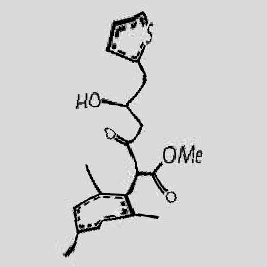 COC(=O)C(C(=O)CC(O)Cc1cccs1)c1c(C)cc(C)cc1C